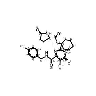 O=C1CC[C@@H](C(=O)NC23CCC(CC2)Cn2c3nc(C(=O)NCc3ccc(F)cc3)c(O)c2=O)N1